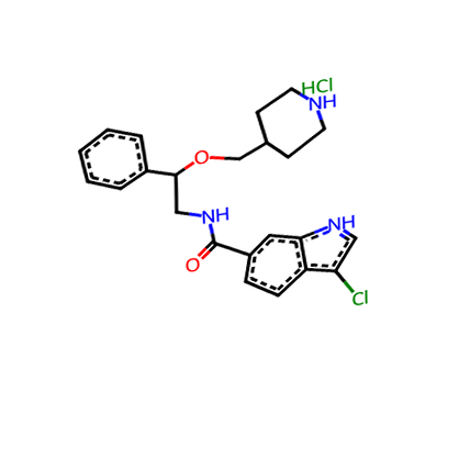 Cl.O=C(NCC(OCC1CCNCC1)c1ccccc1)c1ccc2c(Cl)c[nH]c2c1